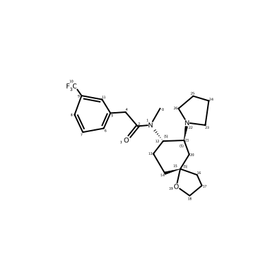 CN(C(=O)Cc1cccc(C(F)(F)F)c1)[C@H]1CC[C@]2(CCCO2)C[C@@H]1N1CCCC1